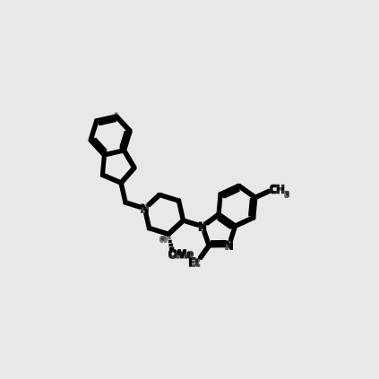 CCc1nc2cc(C)ccc2n1C1CCN(CC2Cc3c[c]ccc3C2)C[C@H]1OC